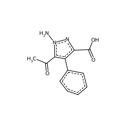 CC(=O)c1c(-c2ccccc2)c(C(=O)O)nn1N